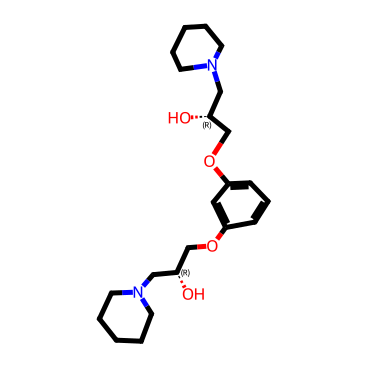 O[C@@H](COc1cccc(OC[C@H](O)CN2CCCCC2)c1)CN1CCCCC1